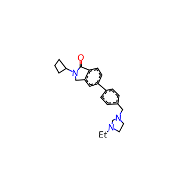 CCN1CCN(Cc2ccc(-c3ccc4c(c3)CN(C3CCC3)C4=O)cc2)C1